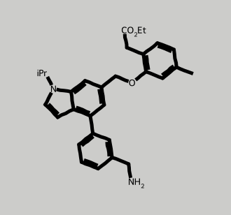 CCOC(=O)Cc1ccc(C)cc1OCc1cc(-c2cccc(CN)c2)c2ccn(C(C)C)c2c1